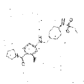 CCS(=O)(=O)N[C@H]1CC[C@H](CNc2ccc(C(=O)N3CCCC3)c(F)c2)CC1